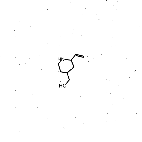 C=CC1CC(CO)CCN1